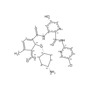 CC1=CC=C(C(=O)Nc2cccnc2C(=O)Nc2ccc(Cl)cn2)C(O[C@H]2CC[C@@H](N)CC2)C1=S(=O)=O.Cl